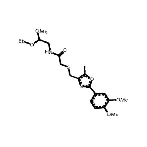 CCOC(CNC(=O)CSCc1nc(-c2ccc(OC)c(OC)c2)oc1C)OC